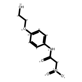 O=C(C[N+](=O)[O-])Nc1ccc(OCCO)cc1